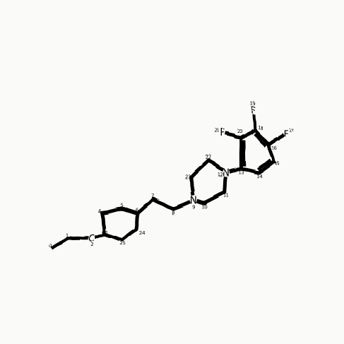 CCCC1CCC(CCN2CCN(c3ccc(F)c(F)c3F)CC2)CC1